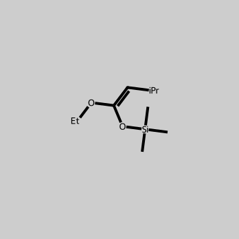 CCOC(=CC(C)C)O[Si](C)(C)C